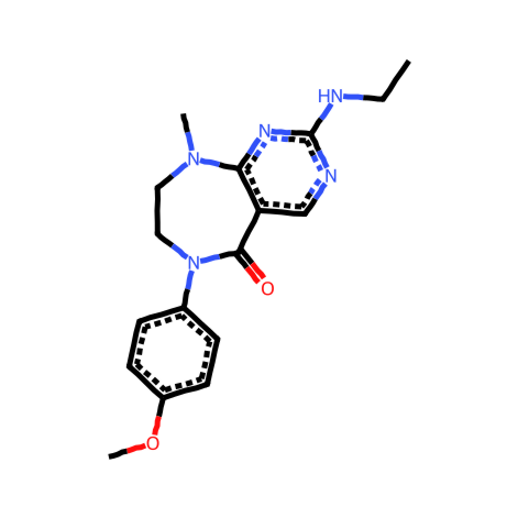 CCNc1ncc2c(n1)N(C)CCN(c1ccc(OC)cc1)C2=O